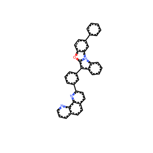 c1ccc(-c2ccc3oc4c(-c5cccc(-c6ccc7ccc8cccnc8c7n6)c5)c5ccccc5n4c3c2)cc1